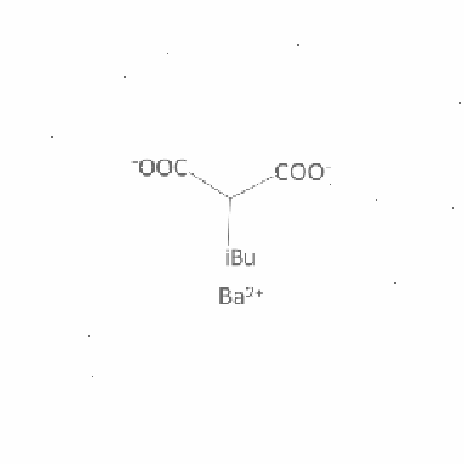 CCC(C)C(C(=O)[O-])C(=O)[O-].[Ba+2]